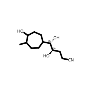 CC1CCC([C@H](O)[C@H](O)CCC#N)CCC1O